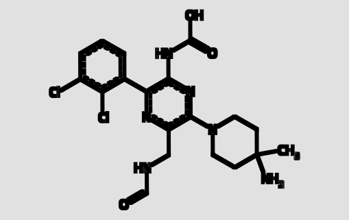 CC1(N)CCN(c2nc(NC(=O)O)c(-c3cccc(Cl)c3Cl)nc2CNC=O)CC1